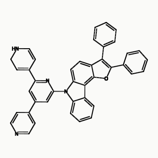 C1=CC(c2cc(-c3ccncc3)cc(-n3c4ccccc4c4c5oc(-c6ccccc6)c(-c6ccccc6)c5ccc43)n2)=CCN1